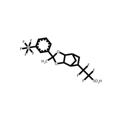 CC1(c2cccc(S(F)(F)(F)(F)F)c2)OC2C3CC(C2O1)C(C(F)(F)C(F)(F)S(=O)(=O)O)C3